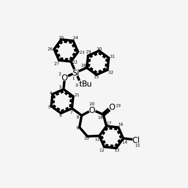 CC(C)(C)[Si](Oc1cccc(C2CCc3ccc(Cl)cc3C(=O)O2)c1)(c1ccccc1)c1ccccc1